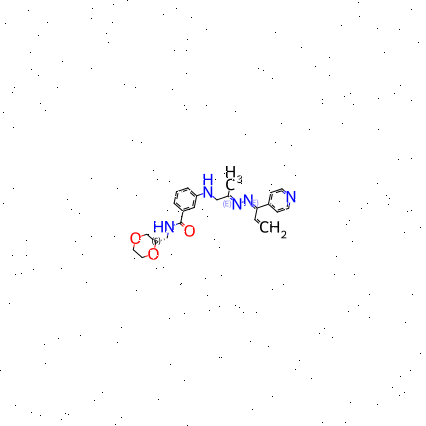 C=C/C(=N\N=C(/C)CNc1cccc(C(=O)NC[C@H]2COCCO2)c1)c1ccncc1